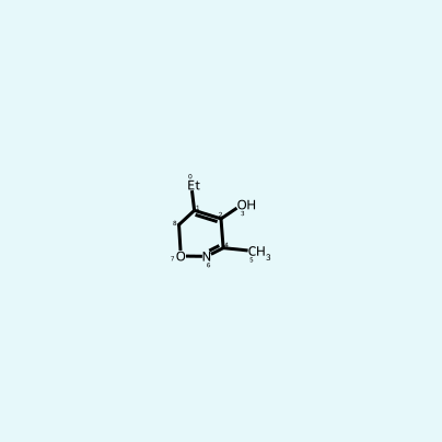 CCC1=C(O)C(C)=NOC1